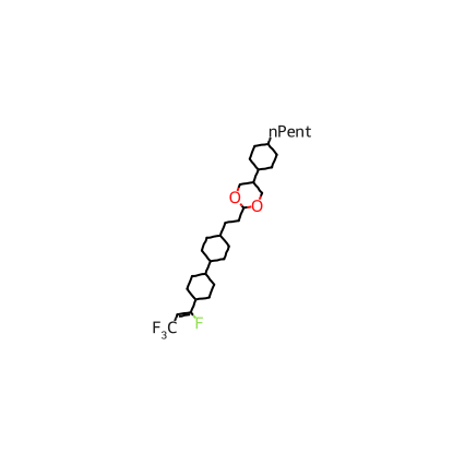 CCCCCC1CCC(C2COC(CCC3CCC(C4CCC(/C(F)=C/C(F)(F)F)CC4)CC3)OC2)CC1